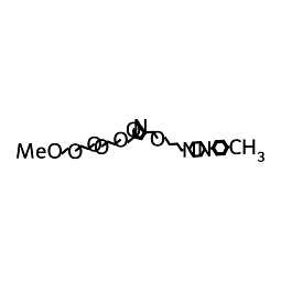 COCCOCCOOCCOCc1cc(COCCCCN2CCN(c3ccc(C)cc3)CC2)no1